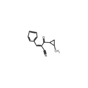 CC1CC1C(=O)/C(C#N)=C\c1ccccc1